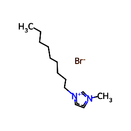 CCCCCCCCC[n+]1ccn(C)c1.[Br-]